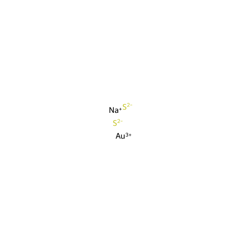 [Au+3].[Na+].[S-2].[S-2]